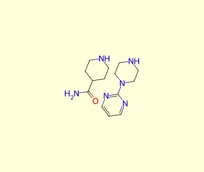 NC(=O)C1CCNCC1.c1cnc(N2CCNCC2)nc1